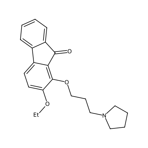 CCOc1ccc2c(c1OCCCN1CCCC1)C(=O)c1ccccc1-2